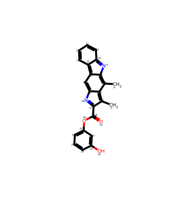 CC1=c2c(cc3c(c2C)N=c2ccccc2=3)N=C1C(=O)Oc1cccc(O)c1